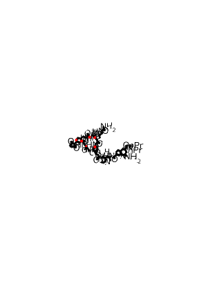 CCCN(CCC)C(=O)C1=Cc2ccc(C(=O)Nc3cnc4c(c3)CN(C(=O)OCc3ccc(NC(=O)[C@H](CCCNC(N)=O)NC(=O)[C@@H](NC(=O)CCc5ccc(N6C(=O)C=CC6=O)cc5C(=O)NCC(=O)NCC(=O)O)C(C)C)cc3)CC4)cc2N=C(N)C1